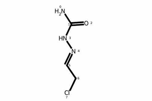 NC(=O)NN=CCCl